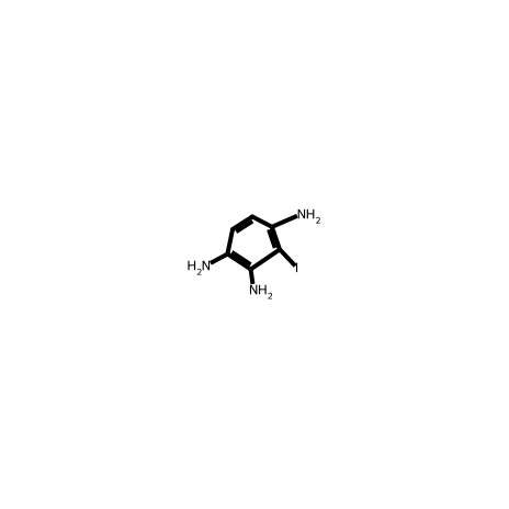 Nc1ccc(N)c(I)c1N